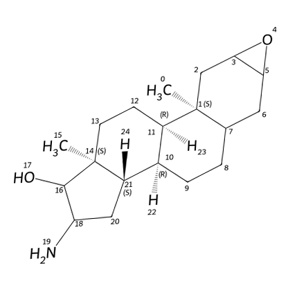 C[C@]12CC3OC3CC1CC[C@@H]1[C@H]2CC[C@]2(C)C(O)C(N)C[C@@H]12